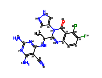 CC(Nc1nc(N)nc(N)c1C#N)c1nc2ccc(F)c(Cl)c2c(=O)n1-c1cn[nH]c1